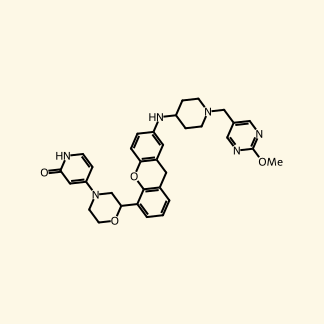 COc1ncc(CN2CCC(Nc3ccc4c(c3)Cc3cccc(C5CN(c6cc[nH]c(=O)c6)CCO5)c3O4)CC2)cn1